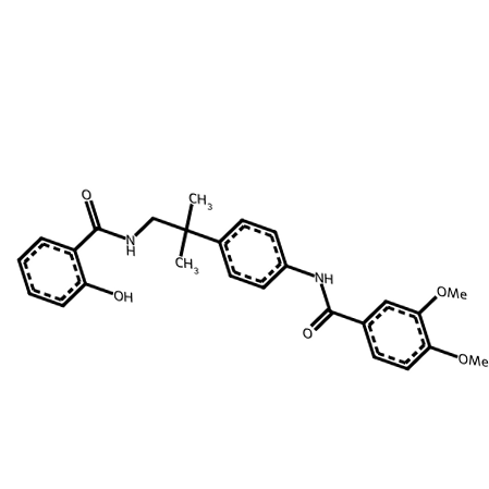 COc1ccc(C(=O)Nc2ccc(C(C)(C)CNC(=O)c3ccccc3O)cc2)cc1OC